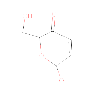 O=C1C=CC(O)OC1CO